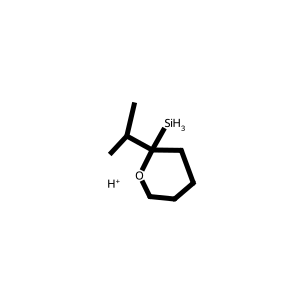 CC(C)C1([SiH3])CCCCO1.[H+]